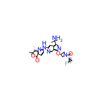 C[C@@H]1OC(=O)c2ccc(Nc3cc4c(C(C)(C)N)cnc(OC5CN(C(=O)[C@@H]6C[C@H]6F)C5)c4cn3)nc2[C@H]1C